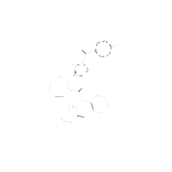 CN[C@@H](C)C(=O)N[C@H](C(=O)N1CCCCC[C@H]1c1nc(C(=O)c2ccc(F)cc2)cs1)C1=CCCCC1